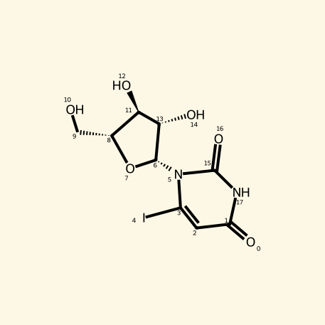 O=c1cc(I)n([C@@H]2O[C@H](CO)[C@@H](O)[C@@H]2O)c(=O)[nH]1